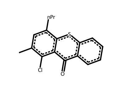 CCCc1cc(C)c(Cl)c2c(=O)c3ccccc3sc12